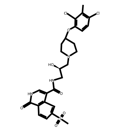 Cc1c(Cl)ccc(OC2CCN(C[C@H](O)CNC(=O)c3c[nH]c(=O)c4ccc(S(C)(=O)=O)cc34)CC2)c1Cl